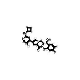 O=C1c2cc(-c3cc(NC4CCC4)ncc3Cl)cn2CCN1Cc1cc(F)c(F)cc1CO